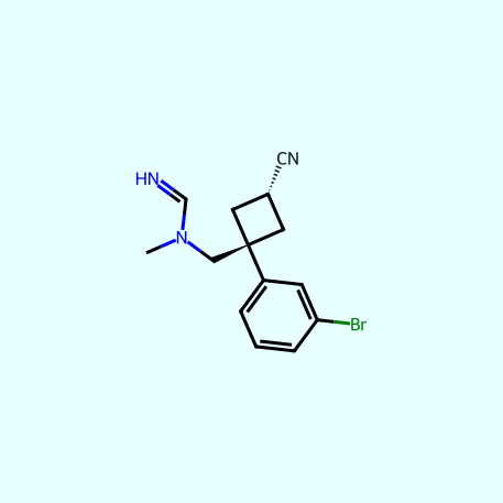 CN(C=N)C[C@]1(c2cccc(Br)c2)C[C@@H](C#N)C1